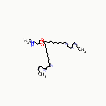 CC/C=C\C/C=C\C/C=C\CCCCCCCCC1(CCCCCCCC/C=C\C/C=C\C/C=C\CC)OCC(CCNC)O1